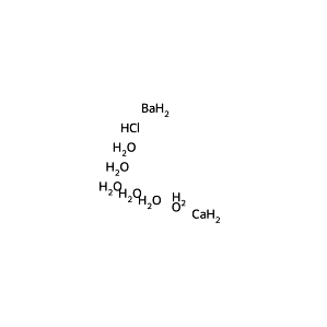 Cl.O.O.O.O.O.O.[BaH2].[CaH2]